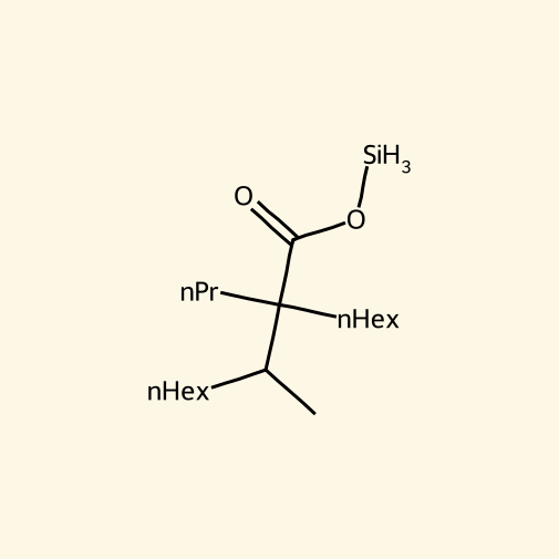 CCCCCCC(C)C(CCC)(CCCCCC)C(=O)O[SiH3]